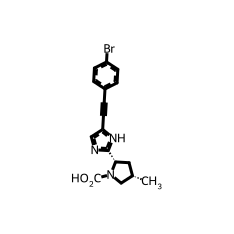 C[C@H]1C[C@@H](c2ncc(C#Cc3ccc(Br)cc3)[nH]2)N(C(=O)O)C1